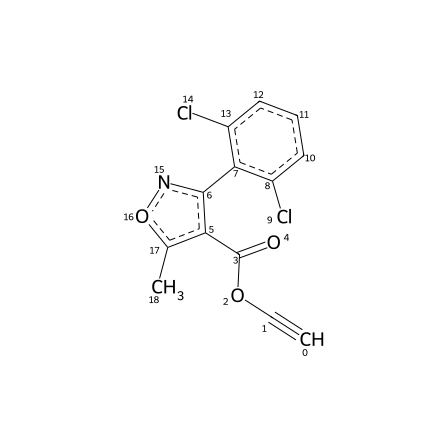 C#COC(=O)c1c(-c2c(Cl)cccc2Cl)noc1C